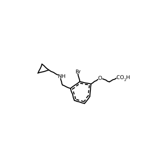 O=C(O)COc1cccc(CNC2CC2)c1Br